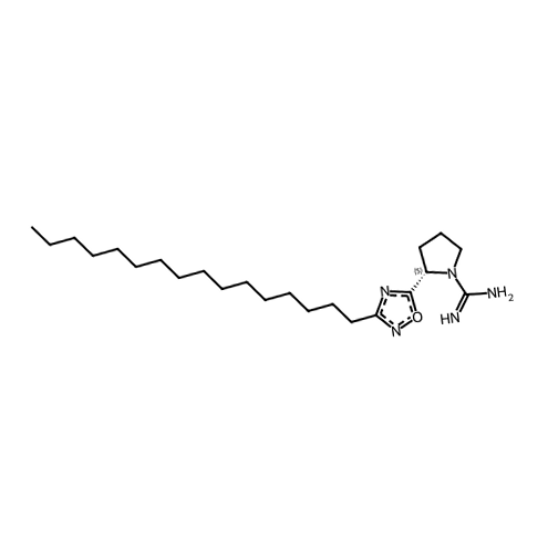 CCCCCCCCCCCCCCCCc1noc([C@@H]2CCCN2C(=N)N)n1